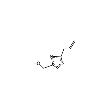 C=CCc1nc(CO)cs1